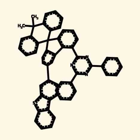 CC1(C)c2ccccc2C2(c3ccc(-c4ccc5c(c4)sc4ccccc45)cc3-c3c(-c4nc(-c5ccccc5)nc(-c5ccccc5)n4)cccc32)c2ccccc21